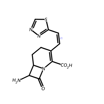 NC1C(=O)N2C(C(=O)O)=C(/C=C\c3nncs3)CCC12